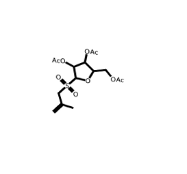 C=C(C)CS(=O)(=O)C1OC(COC(C)=O)C(OC(C)=O)C1OC(C)=O